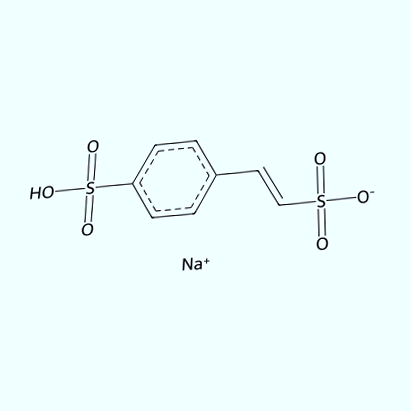 O=S(=O)([O-])C=Cc1ccc(S(=O)(=O)O)cc1.[Na+]